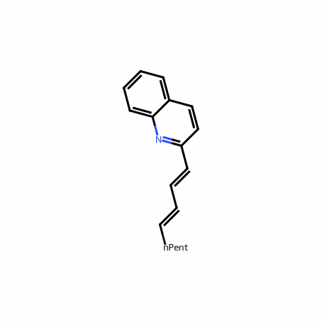 CCCCCC=CC=Cc1ccc2ccccc2n1